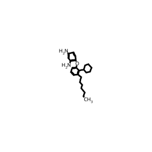 CCCCCCCc1cccc(Oc2ccc(N)cc2N)c1C1CCCCC1